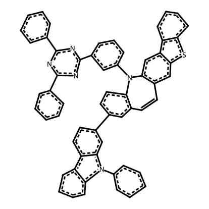 C1=Cc2cc3sc4ccccc4c3cc2N(c2cccc(-c3nc(-c4ccccc4)nc(-c4ccccc4)n3)c2)c2ccc(-c3ccc4c5ccccc5n(-c5ccccc5)c4c3)cc21